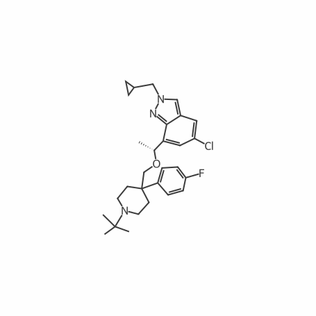 C[C@@H](OCC1(c2ccc(F)cc2)CCN(C(C)(C)C)CC1)c1cc(Cl)cc2cn(CC3CC3)nc12